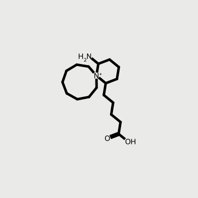 NC1CCCC(CCCCC(=O)O)[N+]12CCCCCCCC2